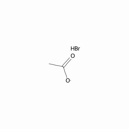 Br.CC([O])=O